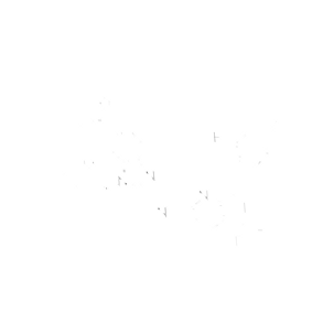 O=C(O)c1ccc2nc(CN3CCc4cc(C(F)(F)F)c(OCc5ccc(Cl)cc5F)nc4C3)n(C[C@H]3CCCO3)c2c1